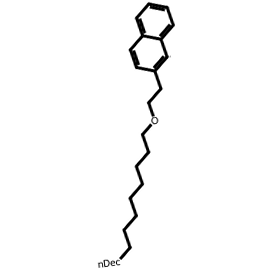 CCCCCCCCCCCCCCCCCCOCCc1[c]c2ccccc2cc1